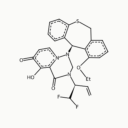 C=C[C@@H](C(F)F)N1CN([C@H]2c3ccccc3SCc3cccc(OCC)c32)n2ccc(=O)c(O)c2C1=O